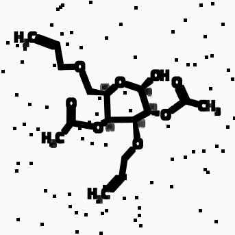 C=CCOC[C@H]1O[C@@H](O)[C@H](OC(C)=O)[C@@H](OCC=C)[C@H]1OC(C)=O